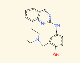 CCN(CC)Cc1cc(Nc2ncc3ccccc3n2)ccc1O